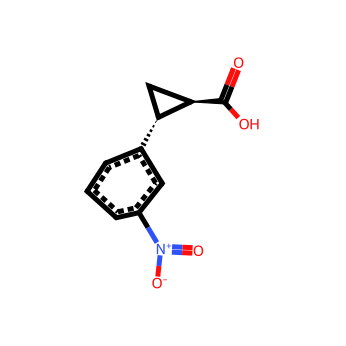 O=C(O)[C@@H]1C[C@H]1c1cccc([N+](=O)[O-])c1